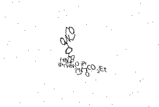 CCOC(=O)C(=O)C(C(C)C)N1CCC[C@H]1C(=O)NC(=O)[C@@H](NC(=O)c1ccc(C(=O)N2CCOCC2)cc1)C(C)C